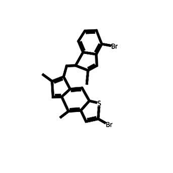 CC1=Cc2c(Br)cccc2C1CC1=C(C)C=C2C1=CC1SC(Br)=CC1=C2C